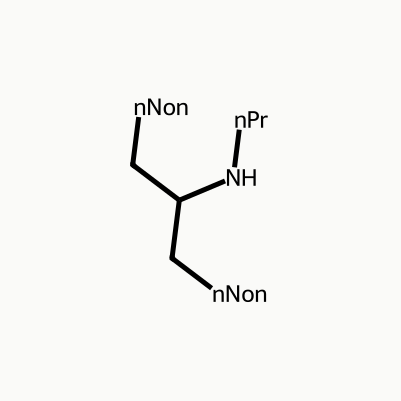 CCCCCCCCCCC(CCCCCCCCCC)NCCC